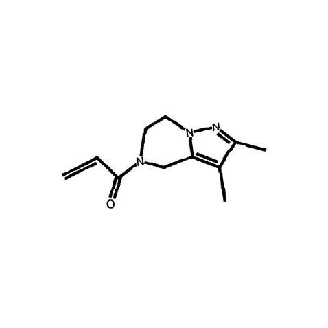 C=CC(=O)N1CCn2nc(C)c(C)c2C1